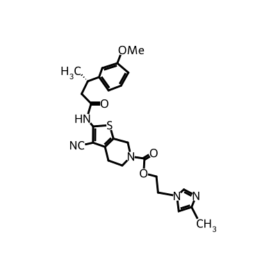 COc1cccc([C@@H](C)CC(=O)Nc2sc3c(c2C#N)CCN(C(=O)OCCn2cnc(C)c2)C3)c1